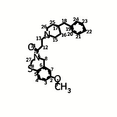 COc1ccc2c(c1)CN(C(=O)CCN1CCC(Cc3ccccc3)CC1)CS2